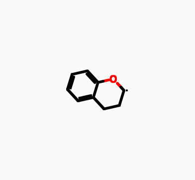 [CH]1CCc2ccccc2O1